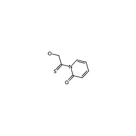 [O]CC(=S)n1ccccc1=O